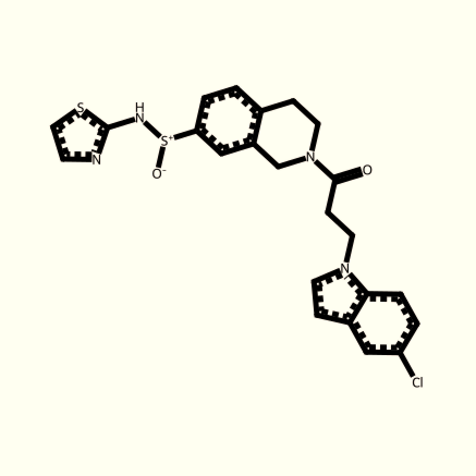 O=C(CCn1ccc2cc(Cl)ccc21)N1CCc2ccc([S+]([O-])Nc3nccs3)cc2C1